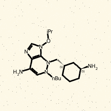 CCCCN1C=C(N)c2ncn(OC(C)C)c2N1C[C@H]1CCC[C@H](N)C1